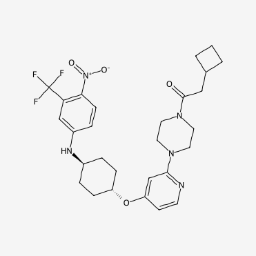 O=C(CC1CCC1)N1CCN(c2cc(O[C@H]3CC[C@H](Nc4ccc([N+](=O)[O-])c(C(F)(F)F)c4)CC3)ccn2)CC1